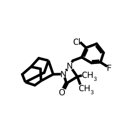 CC1(C)C(=O)N(C2C3CC4CC(C3)CC2C4)N1Cc1cc(F)ccc1Cl